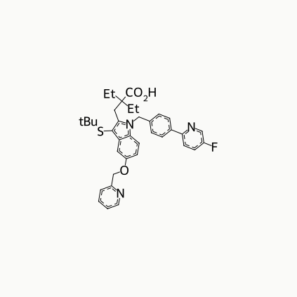 CCC(CC)(Cc1c(SC(C)(C)C)c2cc(OCc3ccccn3)ccc2n1Cc1ccc(-c2ccc(F)cn2)cc1)C(=O)O